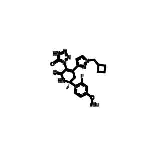 CCCCOc1ccc([C@]2(C)CC(c3ccn(CC4CCC4)n3)=C(n3nn[nH]c3=O)C(=O)N2)c(F)c1